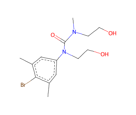 Cc1cc(N(CCO)C(=O)N(C)CCO)cc(C)c1Br